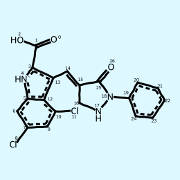 O=C(O)c1[nH]c2cc(Cl)cc(Cl)c2c1C=C1CNN(c2ccccc2)C1=O